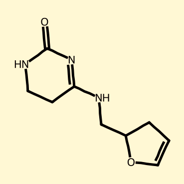 O=C1N=C(NCC2CC=CO2)CCN1